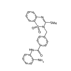 CSC1=Nc2ccccc2S(=O)(=O)N1Cc1ccc(C(=O)Nc2ccccc2N)cc1